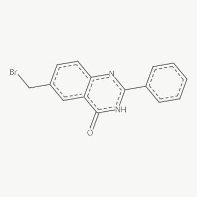 O=c1[nH]c(-c2ccccc2)nc2ccc(CBr)cc12